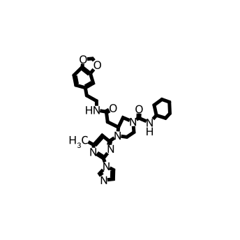 Cc1cc(N2CCN(C(=O)NC3CCCCC3)CC2CC(=O)NCCc2ccc3c(c2)OCO3)nc(-n2ccnc2)n1